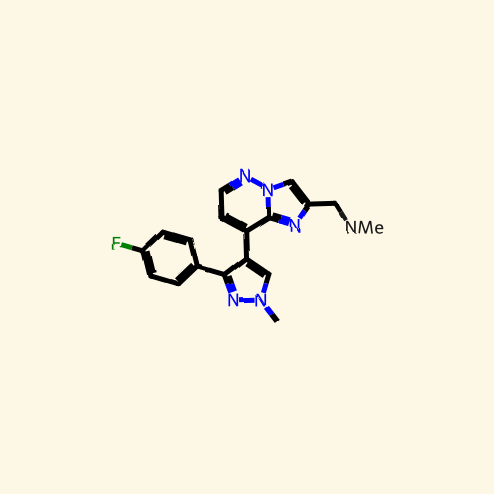 CNCc1cn2nccc(-c3cn(C)nc3-c3ccc(F)cc3)c2n1